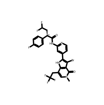 Cn1cc(CC(F)(F)F)c2[nH]c(-c3ccnc(NC(=O)[C@H](CC(F)F)c4ccc(F)cc4)c3)c(Br)c2c1=O